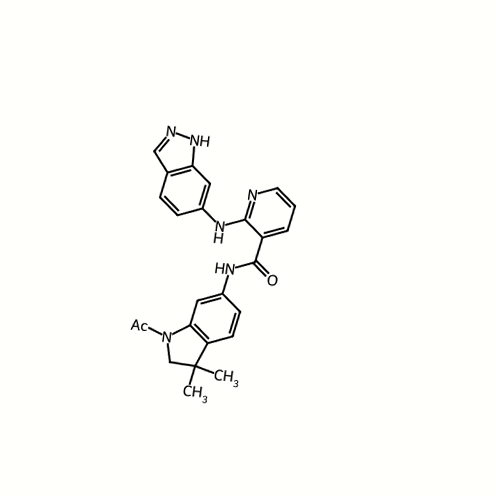 CC(=O)N1CC(C)(C)c2ccc(NC(=O)c3cccnc3Nc3ccc4cn[nH]c4c3)cc21